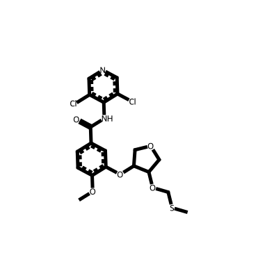 COc1ccc(C(=O)Nc2c(Cl)cncc2Cl)cc1OC1COCC1OCSC